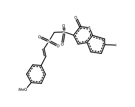 COc1ccc(C=CS(=O)(=O)CS(=O)(=O)c2cc3ccc(I)cc3sc2=O)cc1